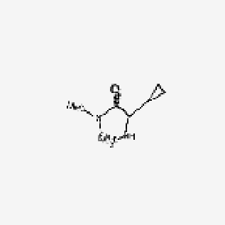 CON(C)C(=O)[C@H](NC(=O)O)C1CC1